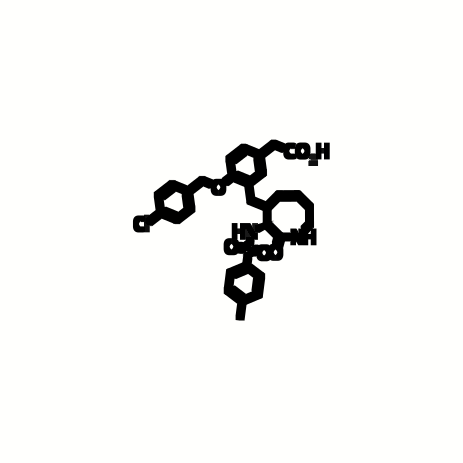 Cc1ccc(S(=O)(=O)N[C@@H]2C(=O)NCC/C=C\C2Cc2cc(CC(=O)O)ccc2OCc2ccc(Cl)cc2)cc1